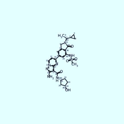 C[C@@H](C1CC1)N1Cc2cc(-c3ccn4nc(N)c(C(=O)N[C@@H]5CC[C@@H](O)C5)c4n3)cc(NS(C)(=O)=O)c2C1=O